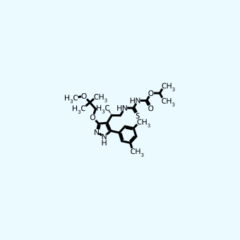 COC(C)(C)COc1n[nH]c(-c2cc(C)cc(C)c2)c1[C@H](C)CNC(=S)NC(=O)OC(C)C